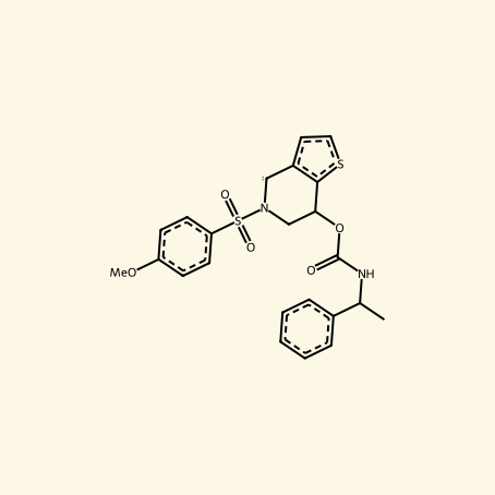 COc1ccc(S(=O)(=O)N2[C]c3ccsc3C(OC(=O)NC(C)c3ccccc3)C2)cc1